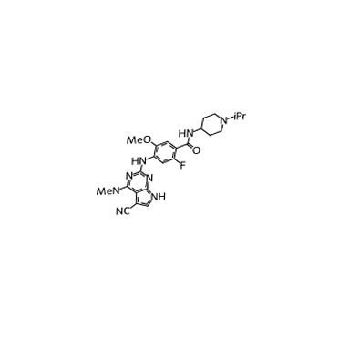 CNc1nc(Nc2cc(F)c(C(=O)NC3CCN(C(C)C)CC3)cc2OC)nc2[nH]cc(C#N)c12